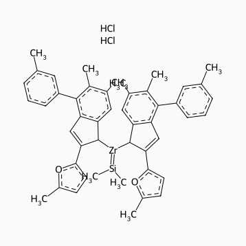 Cc1cccc(-c2c(C)c(C)cc3c2C=C(c2ccc(C)o2)[CH]3[Zr]([CH]2C(c3ccc(C)o3)=Cc3c2cc(C)c(C)c3-c2cccc(C)c2)=[Si](C)C)c1.Cl.Cl